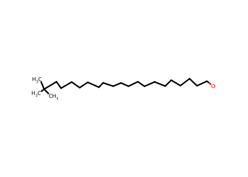 CC(C)(C)CCCCCCCCCCCCCCCCCCC[O]